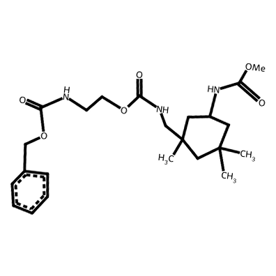 COC(=O)NC1CC(C)(C)CC(C)(CNC(=O)OCCNC(=O)OCc2ccccc2)C1